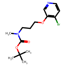 CN(CCCOc1cnccc1Br)C(=O)OC(C)(C)C